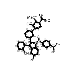 COc1c(C(=O)N=O)ccc(-c2cccc(-c3c(-c4ccccc4C#N)c4cc(F)ccc4n3[S+]([O-])c3ccc(C(F)F)cc3)c2)c1Cl